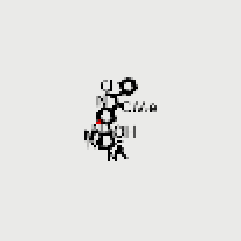 COc1c(-c2ccccc2)c(Cl)nc2ccc(C(O)(c3sc(C)nc3C)c3cnnn3C)cc12